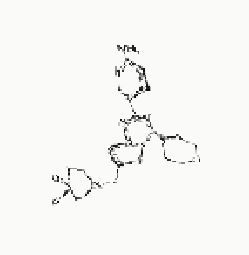 Nc1ccc(-c2nc(N3CCOCC3)c3sc(CN4CCS(=O)(=O)CC4)cc3n2)cn1